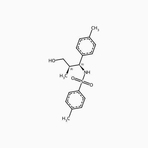 Cc1ccc([C@@H](NS(=O)(=O)c2ccc(C)cc2)[C@@H](C)CO)cc1